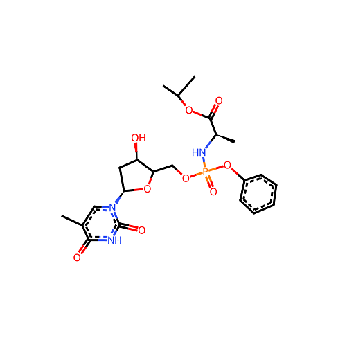 Cc1cn([C@H]2C[C@@H](O)C(COP(=O)(N[C@H](C)C(=O)OC(C)C)Oc3ccccc3)O2)c(=O)[nH]c1=O